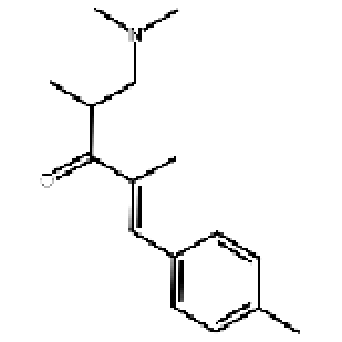 C/C(=C\c1ccc(C)cc1)C(=O)C(C)CN(C)C